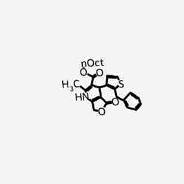 CCCCCCCCOC(=O)C1=C(C)NC2=C(C(=O)OC2)C1c1ccsc1Cc1ccccc1